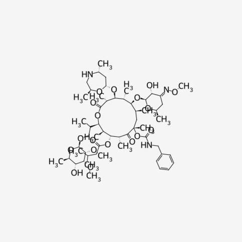 CON=C1C[C@@H](C)O[C@@H](O[C@@H]2[C@@H](C)[C@H](O[C@H]3C[C@@H](C)NC[C@H](C)O3)[C@@H](C)C(=O)O[C@H](C(C)CO[C@@H]3O[C@H](C)[C@@H](O)[C@@H](OC)[C@H]3OC)[C@H](C)[C@@H](OC(=O)CC(C)C)[C@@H](C)C(=O)[C@@](C)(OC(=O)NCc3ccccc3)C[C@@H]2C)[C@@H]1O